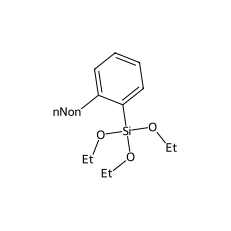 CCCCCCCCCc1ccccc1[Si](OCC)(OCC)OCC